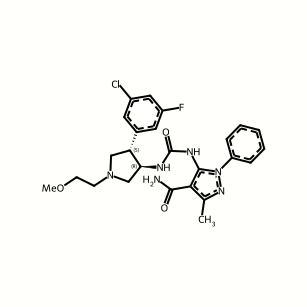 COCCN1C[C@H](NC(=O)Nc2c(C(N)=O)c(C)nn2-c2ccccc2)[C@@H](c2cc(F)cc(Cl)c2)C1